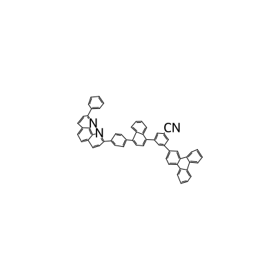 N#Cc1cc(-c2ccc3c4ccccc4c4ccccc4c3c2)cc(-c2ccc(-c3ccc(-c4ccc5ccc6ccc(-c7ccccc7)nc6c5n4)cc3)c3ccccc23)c1